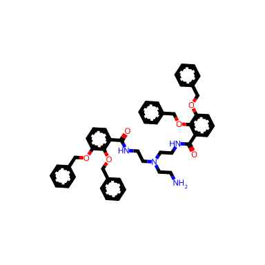 NCCN(CCNC(=O)c1cccc(OCc2ccccc2)c1OCc1ccccc1)CCNC(=O)c1cccc(OCc2ccccc2)c1OCc1ccccc1